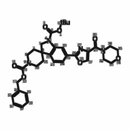 CC(C)(C)OC(=O)N1CC2(CCN(C(=O)OCc3ccccc3)CC2)c2ccc(-c3nc(C(=O)N4CCOCC4)co3)cc21